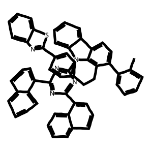 Cc1ccccc1-c1ccc2c3ccccc3n(-c3nc(-c4cccc5ccccc45)nc(-c4cccc5ccccc45)n3)c2c1CCc1ccc(-c2nc3ccccc3s2)cc1